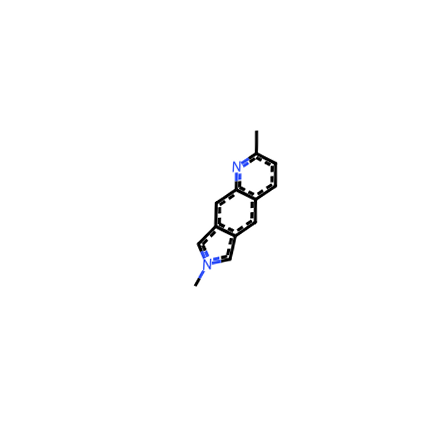 Cc1ccc2cc3cn(C)cc3cc2n1